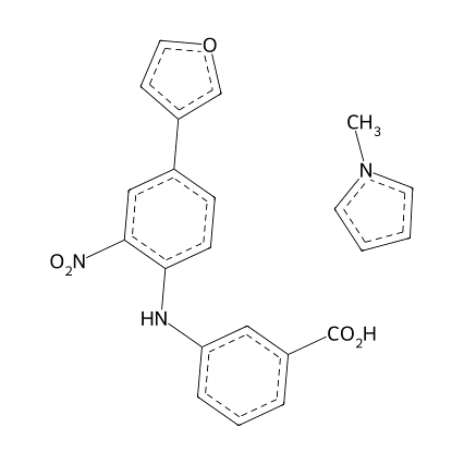 Cn1cccc1.O=C(O)c1cccc(Nc2ccc(-c3ccoc3)cc2[N+](=O)[O-])c1